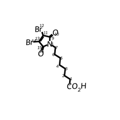 O=C(O)CCCCCCCN1C(=O)C(Br)=C(Br)C1=O